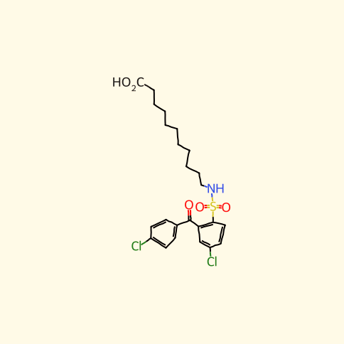 O=C(O)CCCCCCCCCCNS(=O)(=O)c1ccc(Cl)cc1C(=O)c1ccc(Cl)cc1